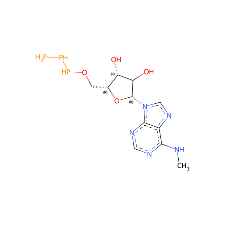 CNc1ncnc2c1ncn2[C@@H]1O[C@H](COPPP)[C@H](O)C1O